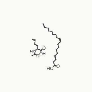 CCCCCCCC/C=C\CCCCCCCC(=O)O.CSCCC(NC(C)=O)C(=O)O